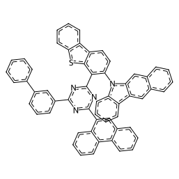 c1ccc(-c2cccc(-c3nc(-c4cc5ccccc5c5ccccc45)nc(-c4c(-n5c6ccccc6c6cc7ccccc7cc65)ccc5c4sc4ccccc45)n3)c2)cc1